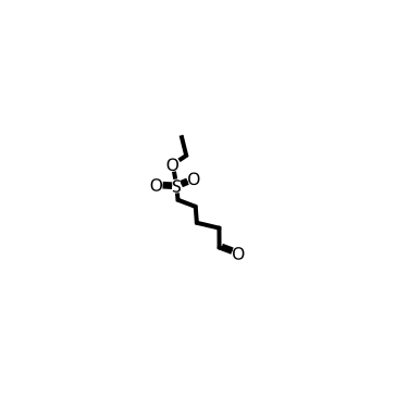 CCOS(=O)(=O)CCCCC=O